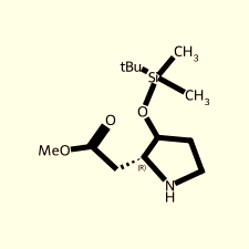 COC(=O)C[C@H]1NCCC1O[Si](C)(C)C(C)(C)C